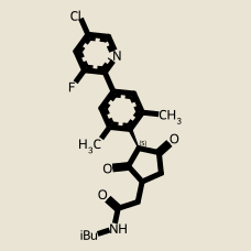 CCC(C)NC(=O)CC1CC(=O)[C@H](c2c(C)cc(-c3ncc(Cl)cc3F)cc2C)C1=O